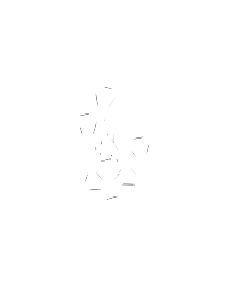 c1ccc(-c2nc(-c3cccc4c3oc3ccccc34)nc(-c3cccc4ccc5ccccc5c34)n2)cc1